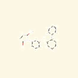 O=C1C=CC(=O)N1c1cccc(Oc2ccccc2-c2ccccc2)c1